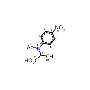 CC(=O)N(c1ccc([N+](=O)[O-])cc1)[C@@H](C)C(=O)O